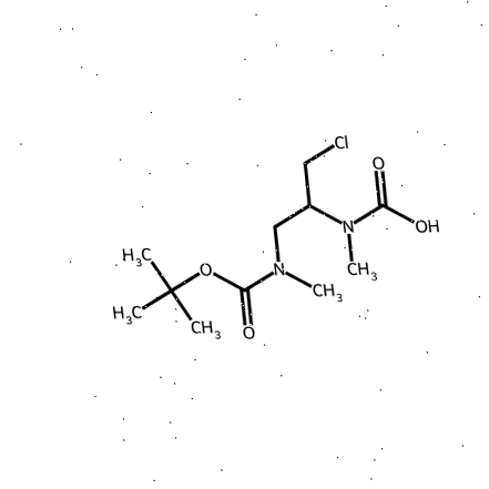 CN(CC(CCl)N(C)C(=O)O)C(=O)OC(C)(C)C